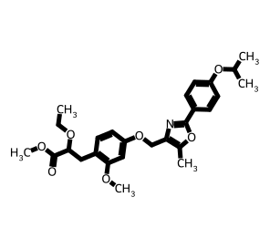 CCOC(Cc1ccc(OCc2nc(-c3ccc(OC(C)C)cc3)oc2C)cc1OC)C(=O)OC